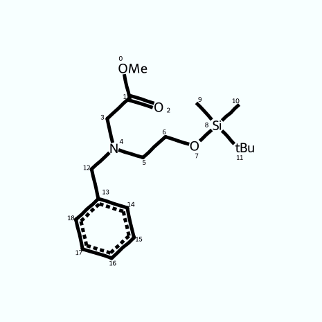 COC(=O)CN(CCO[Si](C)(C)C(C)(C)C)Cc1ccccc1